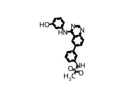 CS(=O)(=O)Nc1cccc(-c2ccc3ncnc(Nc4cccc(O)c4)c3c2)c1